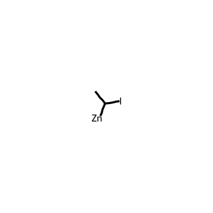 C[CH]([Zn])I